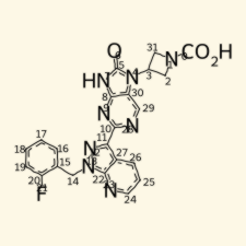 O=C(O)N1CC(n2c(=O)[nH]c3nc(-c4nn(Cc5ccccc5F)c5ncccc45)ncc32)C1